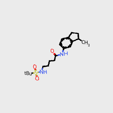 CC1CCc2ccc(NC(=O)CCCCNS(=O)(=O)C(C)(C)C)cc21